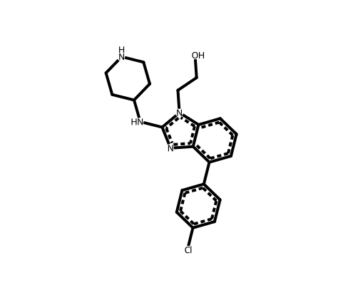 OCCn1c(NC2CCNCC2)nc2c(-c3ccc(Cl)cc3)cccc21